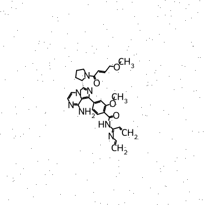 C=C/N=C(\C=C)NC(=O)c1ccc(-c2nc([C@@H]3CCCN3C(=O)/C=C/COC)n3ccnc(N)c23)cc1OC